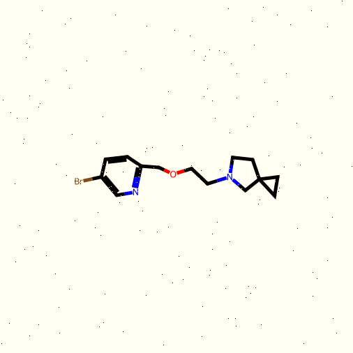 Brc1ccc(COCCN2CCC3(CC3)C2)nc1